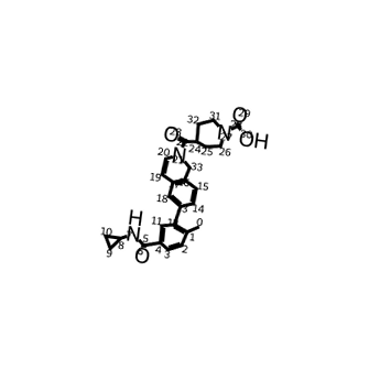 Cc1ccc(C(=O)NC2CC2)cc1-c1ccc2c(c1)C=CN(C(=O)C1CCN(C(=O)O)CC1)C2